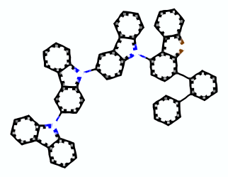 c1ccc(-c2ccccc2-c2ccc(-n3c4ccccc4c4cc(-n5c6ccccc6c6cc(-n7c8ccccc8c8ccccc87)ccc65)ccc43)c3c2sc2ccccc23)cc1